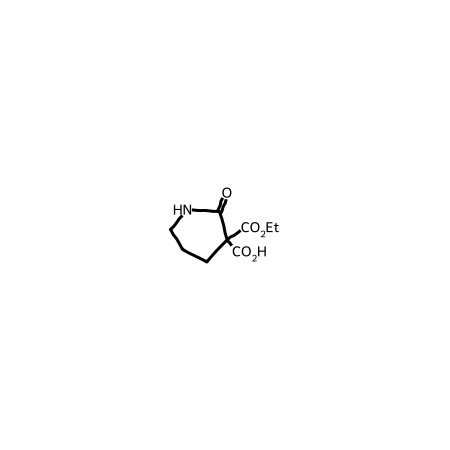 CCOC(=O)C1(C(=O)O)CCCNC1=O